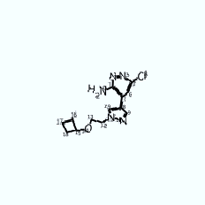 Nc1nnc(Cl)cc1-c1cnn(CCOC2CCC2)c1